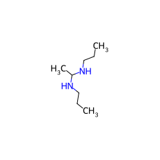 CCCNC(C)NCCC